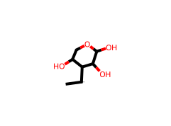 C[CH]C1C(O)COC(O)C1O